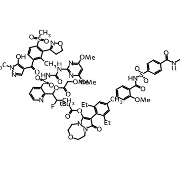 CCc1cc(C)cc(CC)c1-c1c(OC(=O)C(C)(C)C)n2n(c1=O)CCOCC2.COCC(=O)OC(c1ncccc1S(=O)(=O)NC(=O)Nc1nc(OC)cc(OC)n1)C(C)F.COc1ccccc1C(=O)NS(=O)(=O)c1ccc(C(=O)NC2CC2)cc1.Cc1c(C(=O)c2cnn(C)c2O)ccc(S(C)(=O)=O)c1C1=NOCC1